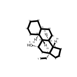 O[C@H]1C[C@]2(CI)CCC[C@H]2[C@@H]2CCC3CCCC[C@@H]3[C@H]21